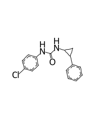 O=C(Nc1ccc(Cl)cc1)NC1CC1c1ccccc1